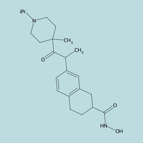 CC(C(=O)C1(C)CCN(C(C)C)CC1)c1ccc2c(c1)CC(C(=O)NO)CC2